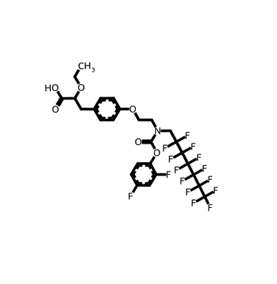 CCOC(Cc1ccc(OCCN(CC(F)(F)C(F)(F)C(F)(F)C(F)(F)C(F)(F)C(F)(F)F)C(=O)Oc2ccc(F)cc2F)cc1)C(=O)O